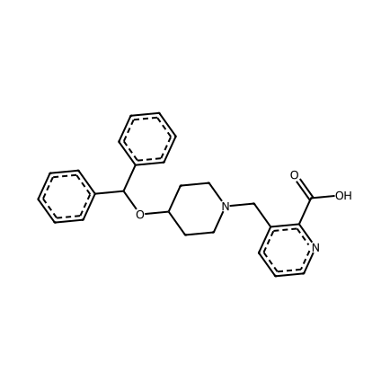 O=C(O)c1ncccc1CN1CCC(OC(c2ccccc2)c2ccccc2)CC1